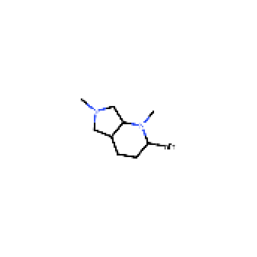 CCCC1CCC2CN(C)CC2N1C